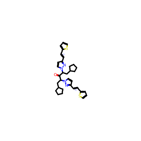 O=C(C(CC1CCCC1)n1ccc(/C=C/c2cccs2)n1)C(CC1CCCC1)n1ccc(/C=C/c2cccs2)n1